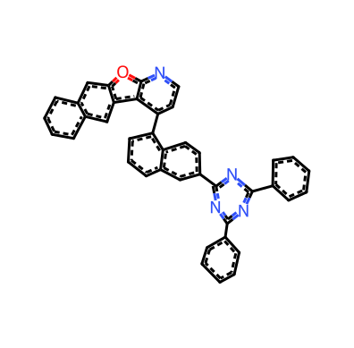 c1ccc(-c2nc(-c3ccccc3)nc(-c3ccc4c(-c5ccnc6oc7cc8ccccc8cc7c56)cccc4c3)n2)cc1